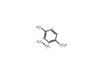 CC.Cc1ccc(C(=O)O)cc1